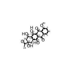 COc1cccc2c1C(=O)c1c(O)c3c(c(O)c1C2=O)CC(O)(C(C)=O)CC3O